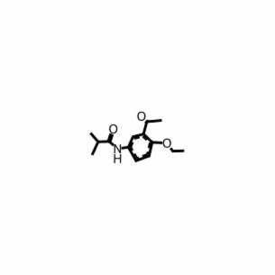 CCOc1ccc(NC(=O)C(C)C)cc1C(C)=O